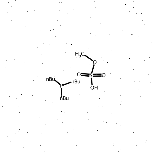 CCCCP(CCCC)CCCC.COS(=O)(=O)O